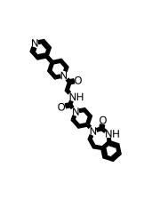 O=C(CNC(=O)N1CCC(N2CCc3ccccc3NC2=O)CC1)N1CCC(c2ccncc2)CC1